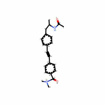 CC(=O)NC(C)Cc1ccc(C#Cc2ccc(C(=O)N(C)C)cc2)cc1